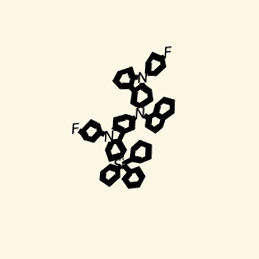 Fc1ccc(-n2c3ccccc3c3cc(N(c4ccc5c(c4)c4cc([Si](c6ccccc6)(c6ccccc6)c6ccccc6)ccc4n5-c4ccc(F)cc4)c4cccc5ccccc45)ccc32)cc1